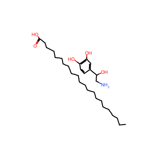 CCCCCCCCCCCCCCCCCCCCCC(=O)O.NCC(O)c1ccc(O)c(O)c1